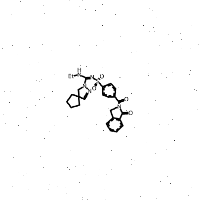 CCNC(=NS(=O)(=O)c1ccc(C(=O)N2Cc3ccccc3C2=O)cc1)N1CC2(C=N1)CCCC2